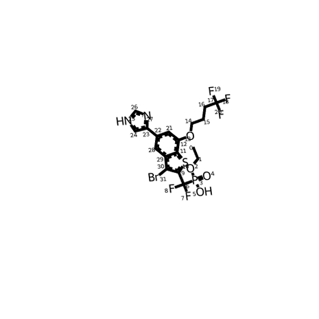 CCOP(=O)(O)C(F)(F)c1sc2c(OCCCC(F)(F)F)cc(-c3c[nH]cn3)cc2c1Br